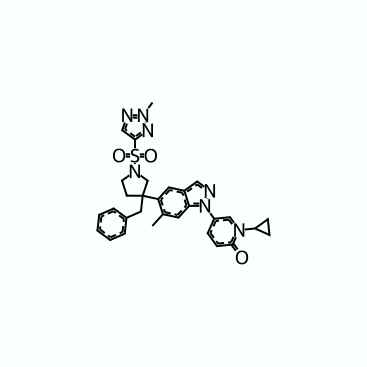 Cc1cc2c(cnn2-c2ccc(=O)n(C3CC3)c2)cc1C1(Cc2ccccc2)CCN(S(=O)(=O)c2cnn(C)n2)C1